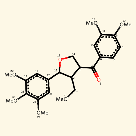 COCC1C(C(=O)c2ccc(OC)c(OC)c2)COC1c1cc(OC)c(OC)c(OC)c1